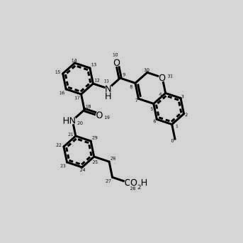 Cc1ccc2c(c1)C=C(C(=O)Nc1ccccc1C(=O)Nc1cccc(CCC(=O)O)c1)CO2